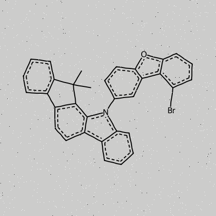 CC1(C)c2ccccc2-c2ccc3c4ccccc4n(-c4ccc5oc6cccc(Br)c6c5c4)c3c21